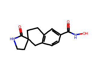 O=C(NO)c1ccc2c(c1)CCC1(CCNC1=O)C2